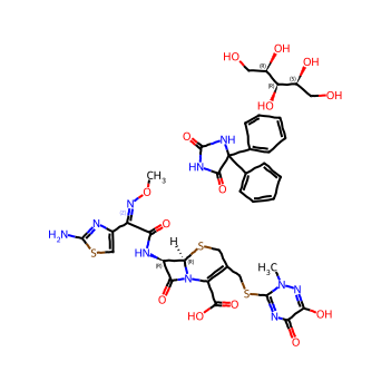 CO/N=C(\C(=O)N[C@@H]1C(=O)N2C(C(=O)O)=C(CSc3nc(=O)c(O)nn3C)CS[C@H]12)c1csc(N)n1.O=C1NC(=O)C(c2ccccc2)(c2ccccc2)N1.OC[C@@H](O)[C@H](O)[C@@H](O)CO